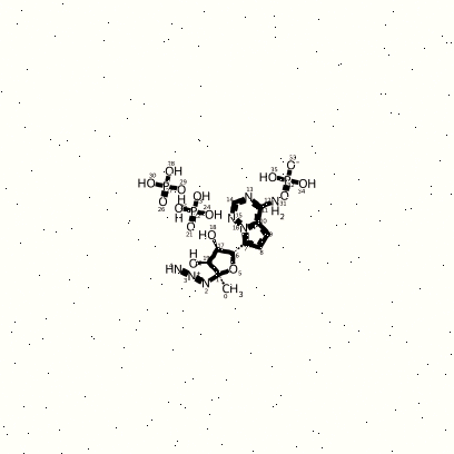 C[C@@]1(N=[N+]=N)O[C@@H](c2ccc3c(N)ncnn23)[C@H](O)[C@@H]1O.O=P(O)(O)O.O=P(O)(O)O.O=P([O-])(O)O